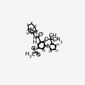 CN1C2CCC1CC(NC(=O)c1cc(S(C)(=O)=O)cc3c1OC(C)(C)c1cccn1-3)C2